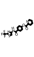 O=C(Nc1csc(C(F)(F)F)n1)c1ccc(OC(=O)c2ccccn2)cc1